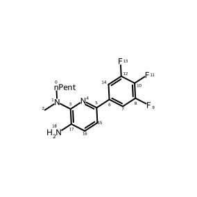 CCCCCN(C)c1nc(-c2cc(F)c(F)c(F)c2)ccc1N